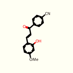 COc1ccc(/C=C/C(=O)c2ccc(C#N)cc2)c(O)c1